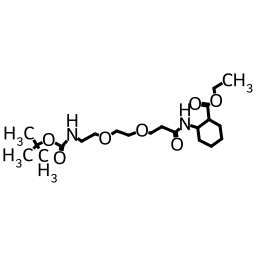 CCOC(=O)C1CCCCC1NC(=O)CCOCCOCCNC(=O)OC(C)(C)C